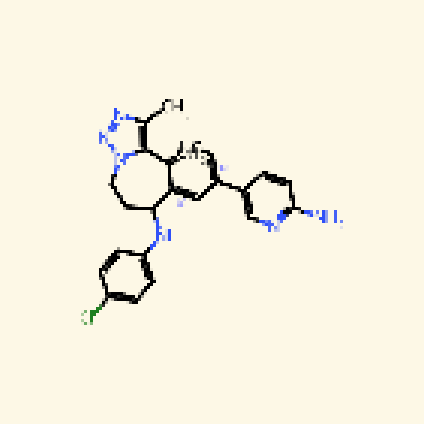 C=C1/C(=C\C(=C/C)c2ccc(N)nc2)C(Nc2ccc(Cl)cc2)CCn2nnc(C)c21